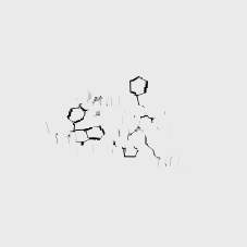 NCCCC[C@H](N[C@@H](CCc1ccccc1)C(=O)O)C(=O)N1CCC[C@H]1C(=O)O.NS(=O)(=O)c1cc(C2(O)NC(=O)c3ccccc32)ccc1Cl